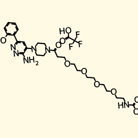 Nc1nnc(-c2ccccc2O)cc1N1CCN(C(=O)CCOCCOCCOCCOCCNC(=O)O)CC1.O=C(O)C(F)(F)F